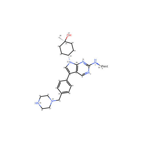 CCC[C@H](C)Nc1ncc2c(-c3ccc(CN4CCNCC4)cc3)cn([C@H]3CC[C@](C)(O)CC3)c2n1